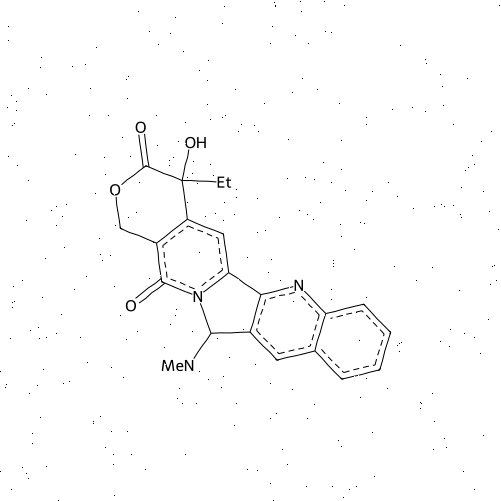 CCC1(O)C(=O)OCc2c1cc1n(c2=O)C(NC)c2cc3ccccc3nc2-1